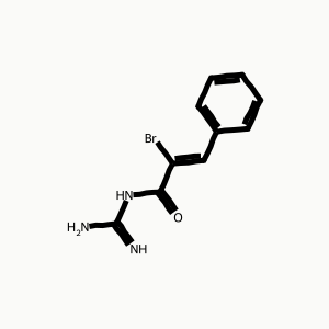 N=C(N)NC(=O)C(Br)=Cc1ccccc1